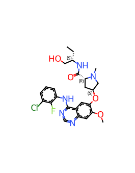 CC[C@@H](CO)NC(=O)[C@H]1C[C@H](Oc2cc3c(Nc4cccc(Cl)c4F)ncnc3cc2OC)CN1C